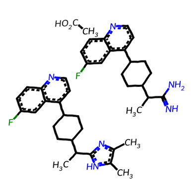 CC(=O)O.CC(C(=N)N)C1CCC(c2ccnc3ccc(F)cc23)CC1.Cc1nc(C(C)C2CCC(c3ccnc4ccc(F)cc34)CC2)[nH]c1C